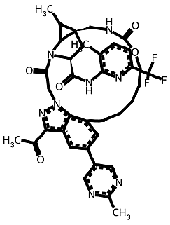 CC(=O)c1nn2c3c(cc(-c4cnc(C)nc4)cc13)CCCCCOC(=O)NC[C@@]13C[C@@H](C(=O)Nc4nc(C(F)(F)F)ccc4C)N(C(=O)C2)C1C3C